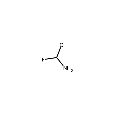 NC([O])F